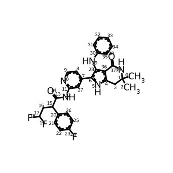 CC1(C)Cc2[nH]c(-c3ccnc(NC(=O)C(CC(F)F)c4ccc(F)cc4)c3)c(Nc3ccccc3)c2C(=O)N1